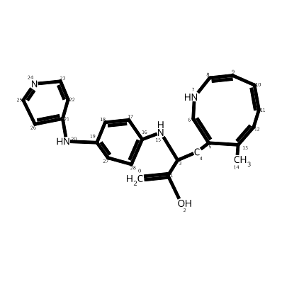 C=C(O)C(Cc1c[nH]cccccc1C)Nc1ccc(Nc2ccncc2)cc1